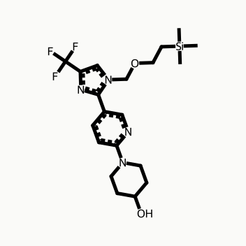 C[Si](C)(C)CCOCn1cc(C(F)(F)F)nc1-c1ccc(N2CCC(O)CC2)nc1